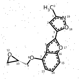 Cc1cc(-c2cc3c(OC[C@@H]4CO4)cccc3o2)on1